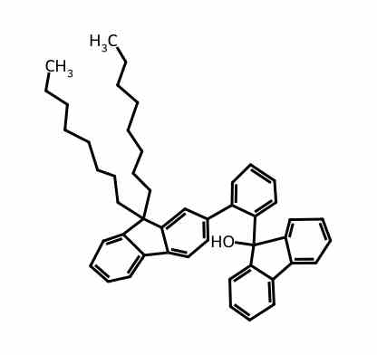 CCCCCCCCC1(CCCCCCCC)c2ccccc2-c2ccc(-c3ccccc3C3(O)c4ccccc4-c4ccccc43)cc21